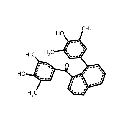 Cc1cc(C(=O)c2cccc3cccc(-c4cc(C)c(O)c(C)c4)c23)cc(C)c1O